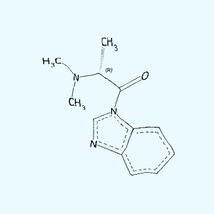 C[C@H](C(=O)n1cnc2ccccc21)N(C)C